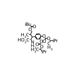 CCC(C)C(=O)OCC(C)C(c1ccc(OC(=O)OC(C)C(C)C)c(OC(=O)OC(C)C(C)C)c1)[C@H](N)C(=O)O